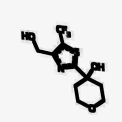 OCc1nc(C2(O)CCOCC2)sc1C(F)(F)F